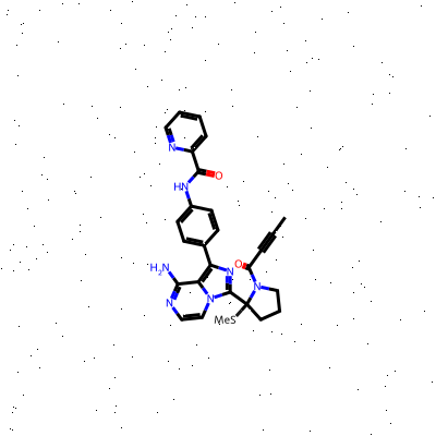 CC#CC(=O)N1CCCC1(SC)c1nc(-c2ccc(NC(=O)c3ccccn3)cc2)c2c(N)nccn12